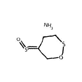 N.O=S=C1CCSOC1